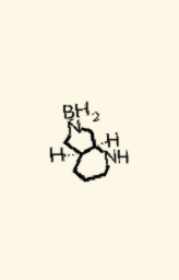 BN1C[C@@H]2CCCN[C@@H]2C1